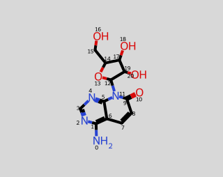 Nc1ncnc2c1ccc(=O)n2C1OC(CO)C(O)C1O